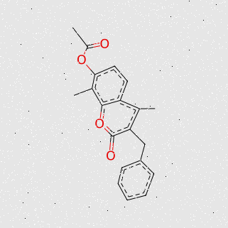 CC(=O)Oc1ccc2c(C)c(Cc3ccccc3)c(=O)oc2c1C